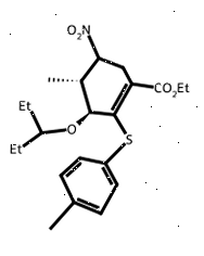 CCOC(=O)C1=C(Sc2ccc(C)cc2)[C@@H](OC(CC)CC)[C@H](C)C([N+](=O)[O-])C1